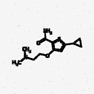 CN(C)CCOc1cc(C2CC2)sc1C(N)=O